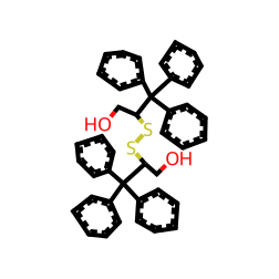 OCC(SSC(CO)C(c1ccccc1)(c1ccccc1)c1ccccc1)C(c1ccccc1)(c1ccccc1)c1ccccc1